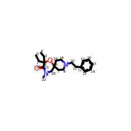 CCC1(CC)OC2(CCN(CCc3ccccc3)CC2)CN(C)C1=O